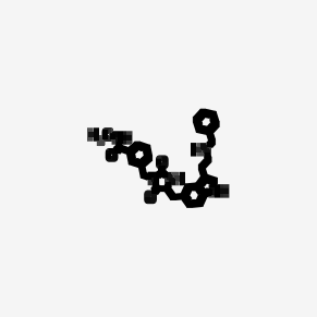 CNC(=O)c1cccc(CN2C(=O)NC(Cc3ccc4[nH]cc(CCNCc5ccccc5)c4c3)C2=O)c1